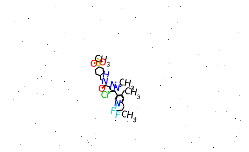 CCc1cc(CC(C)C(F)(F)F)ncc1-c1c(Cl)c(C(=O)NCC2CCC(S(C)(=O)=O)CC2)nn1CC